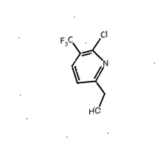 OCc1ccc(C(F)(F)F)c(Cl)n1